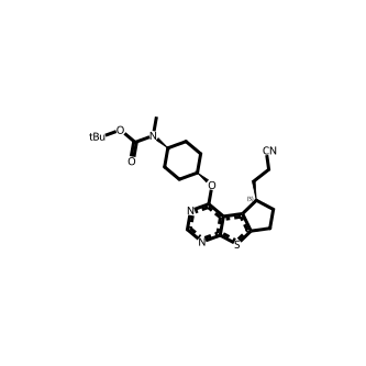 CN(C(=O)OC(C)(C)C)[C@H]1CC[C@@H](Oc2ncnc3sc4c(c23)[C@@H](CCC#N)CC4)CC1